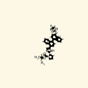 CC(C)(C)OC(=O)N1CCC[C@H]1c1ncc(-c2ccc(-c3ccc(OS(=O)(=O)C(F)(F)F)c4c3C3CCC4C3)c3c2C2CCC3O2)[nH]1